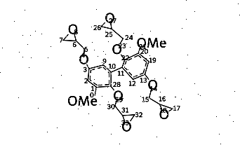 COc1cc(OCC2CO2)cc(-c2cc(OCC3CO3)cc(OC)c2OCC2CO2)c1OCC1CO1